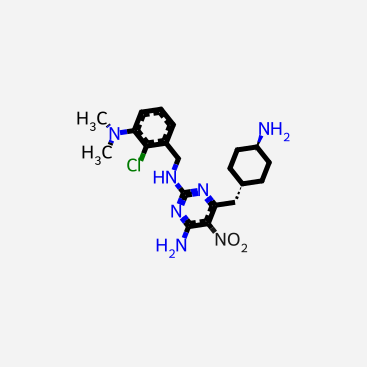 CN(C)c1cccc(CNc2nc(N)c([N+](=O)[O-])c(C[C@H]3CC[C@H](N)CC3)n2)c1Cl